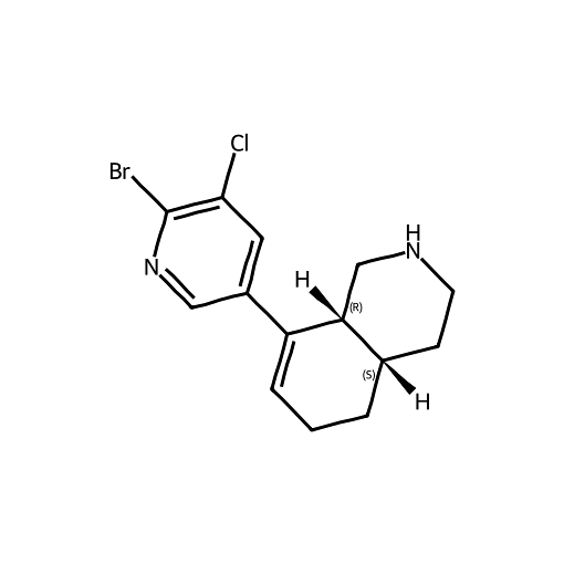 Clc1cc(C2=CCC[C@H]3CCNC[C@@H]23)cnc1Br